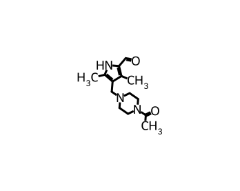 CC(=O)N1CCN(Cc2c(C)[nH]c(C=O)c2C)CC1